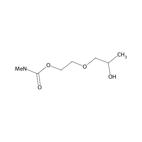 CNC(=O)OCCOCC(C)O